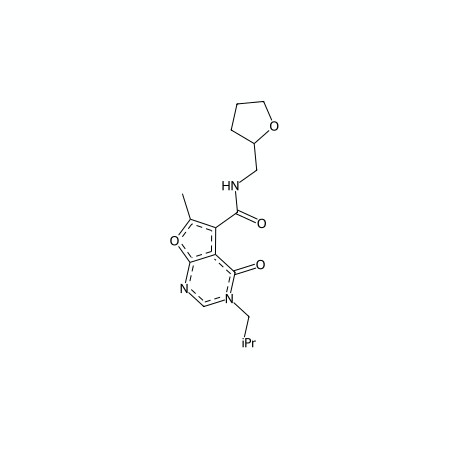 Cc1oc2ncn(CC(C)C)c(=O)c2c1C(=O)NCC1CCCO1